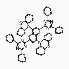 c1ccc(-c2nc(-c3ccccc3)nc(-c3cc(N4c5ccccc5Sc5ccccc54)c4cc(-c5nc(-c6ccccc6)nc(-c6ccccc6)n5)cc(N5c6ccccc6Sc6ccccc65)c4c3)n2)cc1